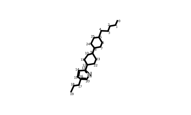 CCCCCC1CCC(C2CCC(c3ccc(CCC)cn3)CC2)CC1